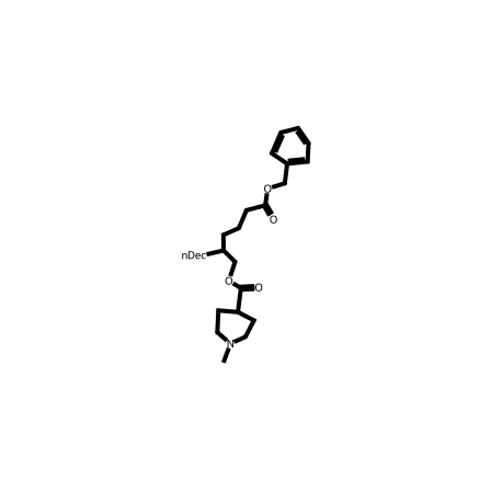 CCCCCCCCCCC(CCCC(=O)OCc1ccccc1)COC(=O)C1CCN(C)CC1